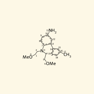 COCCN(CCOC)c1ccc(N)cc1-c1cc(C)cs1